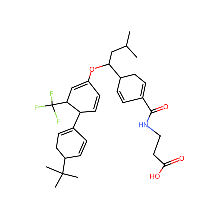 CC(C)CC(OC1=CC(C(F)(F)F)C(C2=CCC(C(C)(C)C)C=C2)C=C1)C1C=CC(C(=O)NCCC(=O)O)=CC1